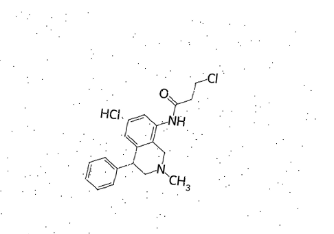 CN1Cc2c(NC(=O)CCCl)cccc2C(c2ccccc2)C1.Cl